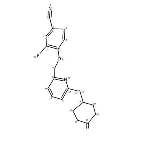 N#Cc1ccc(OCc2cccc(NC3CCNCC3)n2)c(F)c1